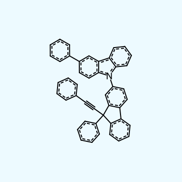 C(#CC1(c2ccccc2)c2ccccc2-c2ccc(-n3c4ccccc4c4cc(-c5ccccc5)ccc43)cc21)c1ccccc1